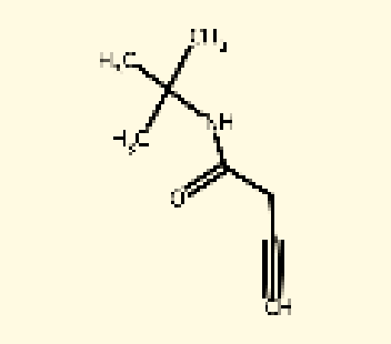 C#CCC(=O)NC(C)(C)C